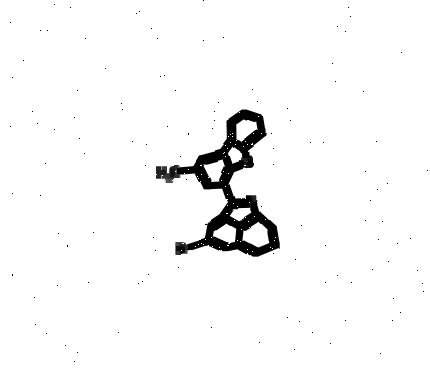 Cc1cc(C2=Nc3cccc4cc(Br)cc2c34)c2oc3ccccc3c2c1